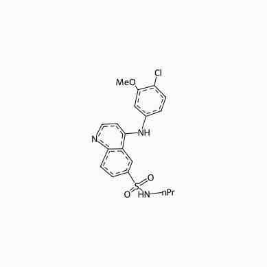 CCCNS(=O)(=O)c1ccc2nccc(Nc3ccc(Cl)c(OC)c3)c2c1